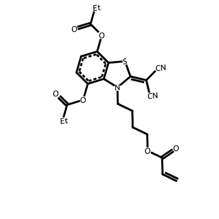 C=CC(=O)OCCCCN1C(=C(C#N)C#N)Sc2c(OC(=O)CC)ccc(OC(=O)CC)c21